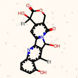 CCc1c2c(nc3cccc(O)c13)-c1cc3c(c(=O)n1C2O)COC(=O)C3(O)CC